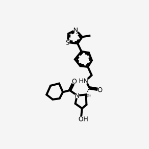 Cc1ncsc1-c1ccc(CNC(=O)[C@@H]2CC(O)CN2C(=O)C2CCCCC2)cc1